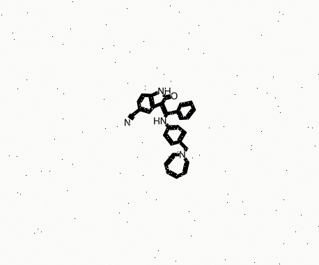 N#Cc1ccc2c(c1)C(=C(Nc1ccc(CN3C=CC=CC=C3)cc1)c1ccccc1)C(=O)N2